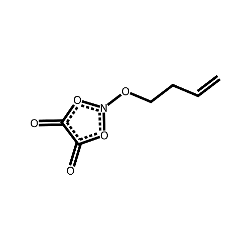 C=CCCOn1oc(=O)c(=O)o1